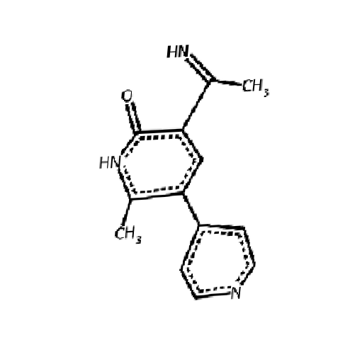 CC(=N)c1cc(-c2ccncc2)c(C)[nH]c1=O